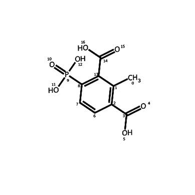 Cc1c(C(=O)O)ccc(P(=O)(O)O)c1C(=O)O